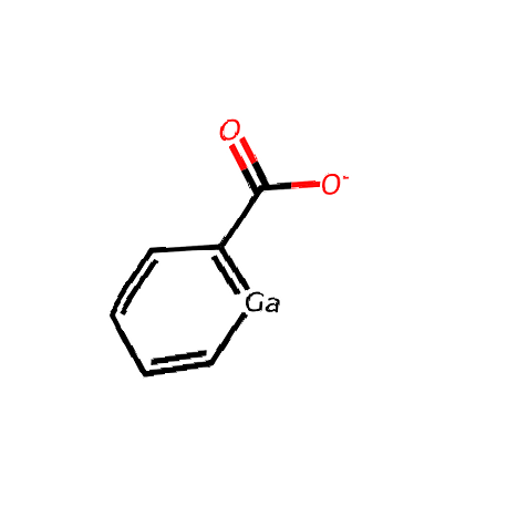 O=C([O-])[C]1=[Ga][CH]=CC=C1